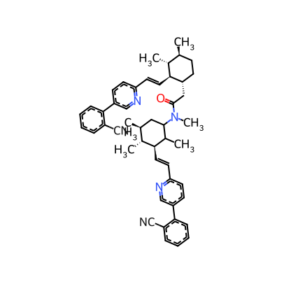 CC1C(N(C)C(=O)C[C@H]2CC[C@H](C)[C@@H](C)[C@@H]2/C=C/c2ccc(-c3ccccc3C#N)cn2)C[C@H](C)[C@@H](C)[C@@H]1/C=C/c1ccc(-c2ccccc2C#N)cn1